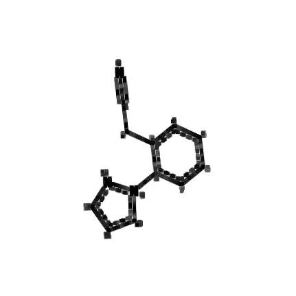 N#CCc1ccccc1-n1cccn1